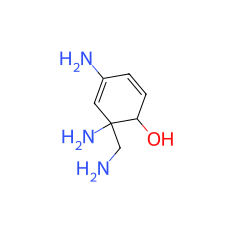 NCC1(N)C=C(N)C=CC1O